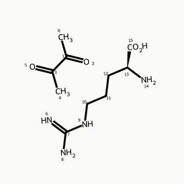 CC(=O)C(C)=O.N=C(N)NCCC[C@H](N)C(=O)O